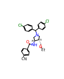 CCOC[C@H]1CN(C(c2ccc(Cl)cc2)c2ccc(Cl)cc2)C[C@@H]1NC(=O)c1ccc(C#N)cc1